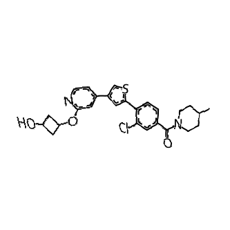 CC1CCN(C(=O)c2ccc(-c3cc(-c4ccnc(OC5CC(O)C5)c4)cs3)c(Cl)c2)CC1